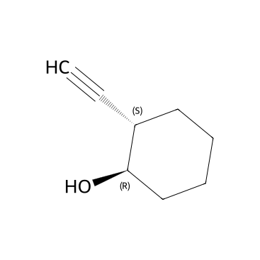 C#C[C@@H]1CCCC[C@H]1O